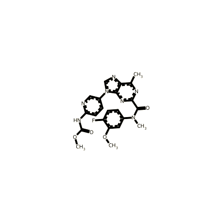 COC(=O)Nc1ccc(-n2cnc3c(C)nc(C(=O)N(C)c4ccc(F)c(OC)c4)nc32)cn1